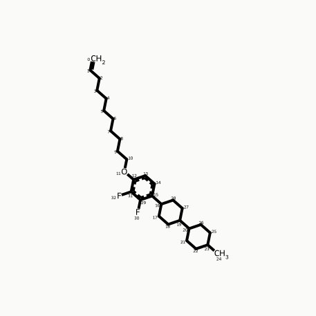 C=CCCCCCCCCCOc1ccc(C2CCC(C3CCC(C)CC3)CC2)c(F)c1F